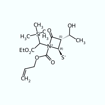 C=CCOC(=O)[N+]1(C(C(=O)OCC)[Si](C)(C)C)C(=O)[C@H](C(C)O)[C@H]1[S-]